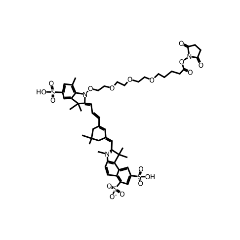 Cc1cc(S(=O)(=O)O)cc2c1N(OCCOCCOCCOCCCCC(=O)ON1C(=O)CCC1=O)/C(=C/C=C/C1=CC(=C/C3=[N+](C)c4ccc5c(S(=O)(=O)[O-])cc(S(=O)(=O)O)cc5c4C3(C)C)/CC(C)(C)C1)C2(C)C